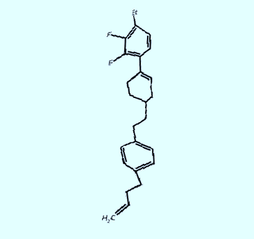 C=CCCc1ccc(CCC2CC=C(c3ccc(CC)c(F)c3F)CC2)cc1